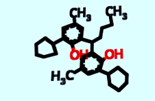 CCCCC(c1cc(C)cc(C2CCCCC2)c1O)c1cc(C)cc(C2CCCCC2)c1O